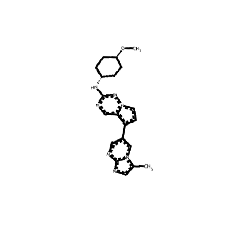 CO[C@H]1CC[C@H](Nc2ncc3c(-c4cnc5ncc(C)n5c4)ccn3n2)CC1